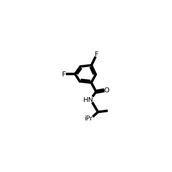 CC(C)C(C)NC(=O)c1cc(F)cc(F)c1